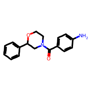 Nc1ccc(C(=O)N2CCOC(c3ccccc3)C2)cc1